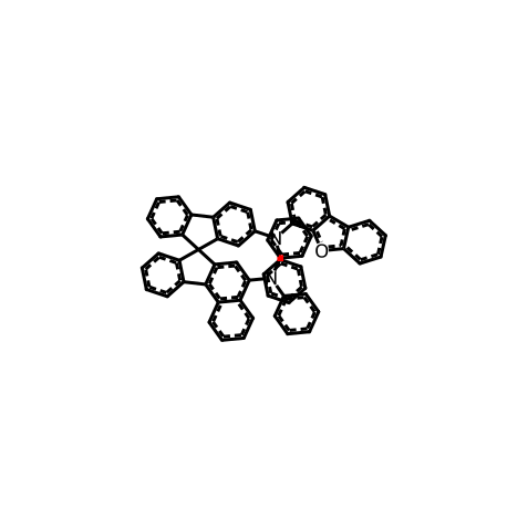 c1ccc(N(c2ccccc2)c2cc3c(c4ccccc24)-c2ccccc2C32c3ccccc3-c3ccc(N(c4ccccc4)c4cccc5c4oc4ccccc45)cc32)cc1